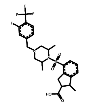 CC1c2cccc(S(=O)(=O)N3C(C)CN(Cc4ccc(C(F)(F)F)c(F)c4)CC3C)c2CC1C(=O)O